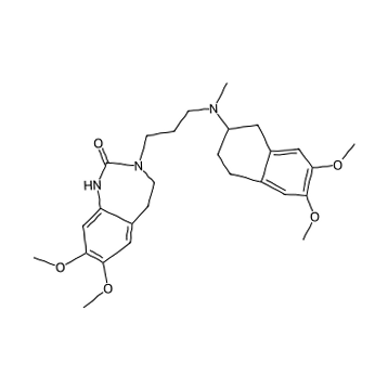 COc1cc2c(cc1OC)CC(N(C)CCCN1CCc3cc(OC)c(OC)cc3NC1=O)CC2